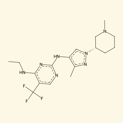 CCNc1nc(Nc2cn([C@H]3CCCN(C)C3)nc2C)ncc1C(F)(F)F